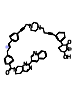 O=C1NC(O)CCC1c1cccc(C#CCCN2CCN(CC#Cc3ccc(/C=C/Cc4ccc(C(=O)N5CCc6cnc(-c7cnc8ccccc8c7)nc6C5)cc4)cc3)CC2)c1